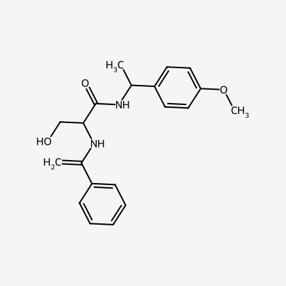 C=C(NC(CO)C(=O)NC(C)c1ccc(OC)cc1)c1ccccc1